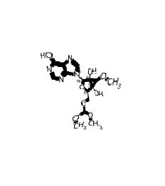 COC(OC)OC[C@H]1O[C@@H](n2cnc3c(O)ncnc32)[C@@]2(O)C(OC)[C@@]12O